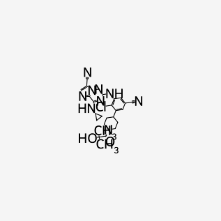 CC(C)(O)C(=O)N1CCC(c2cc(C#N)cc(Nc3nc(NC4CC4)c4ncc(C#N)n4n3)c2Cl)CC1